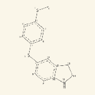 CSc1ccc(Sc2ccc3c(c2)CCN3)cc1